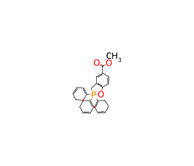 COC(=O)c1ccc2c(c1)CP(C1=CC=CCC1)(C1=CC=CCC1)(C1=CC=CCC1)O2